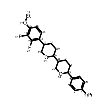 CCCc1ccc(C2CCC(C3CCC(c4ccc(OCC)c(F)c4F)CO3)CO2)cc1